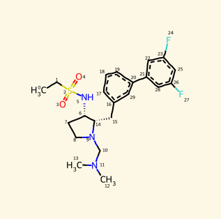 CCS(=O)(=O)N[C@H]1CCN(CN(C)C)[C@H]1Cc1cccc(-c2cc(F)cc(F)c2)c1